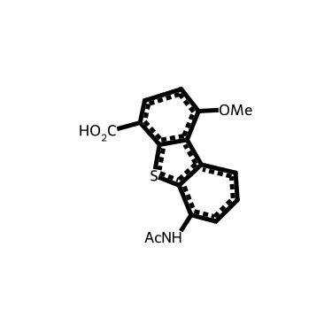 COc1ccc(C(=O)O)c2sc3c(NC(C)=O)cccc3c12